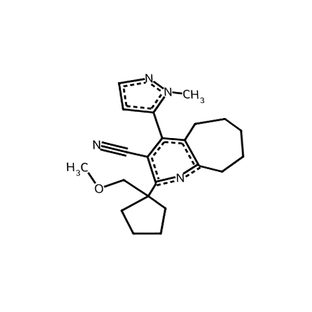 COCC1(c2nc3c(c(-c4ccnn4C)c2C#N)CCCCC3)CCCC1